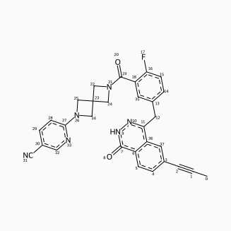 CC#Cc1ccc2c(=O)[nH]nc(Cc3ccc(F)c(C(=O)N4CC5(C4)CN(c4ccc(C#N)cn4)C5)c3)c2c1